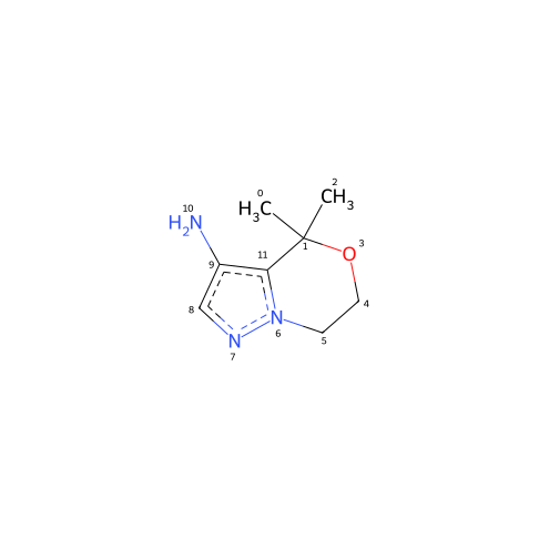 CC1(C)OCCn2ncc(N)c21